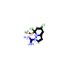 N#CSC1(Cl)C=C(Cl)C=C2C=CN(C(=N)N)N21